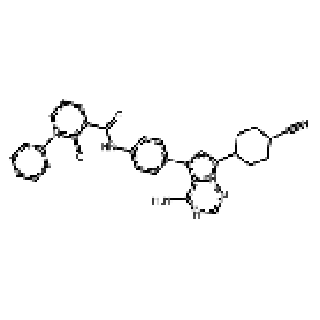 N#CC1CCC(c2cc(-c3ccc(NC(=O)c4cccn(-c5ccccc5)c4=O)cc3)c3c(N)ncnn23)CC1